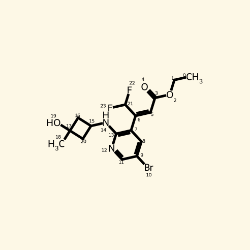 CCOC(=O)C=C(c1cc(Br)cnc1NC1CC(C)(O)C1)C(F)F